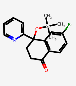 C[Si](C)(C)OC1(c2ccccn2)CCC(=O)c2ccc(Br)cc21